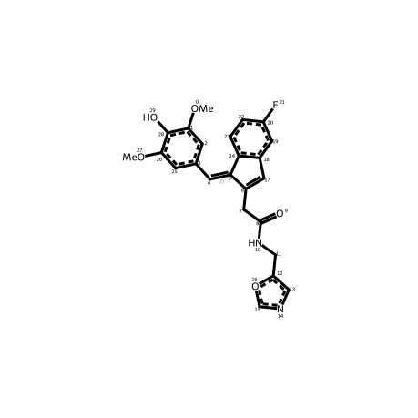 COc1cc(/C=C2/C(CC(=O)NCc3cnco3)=Cc3cc(F)ccc32)cc(OC)c1O